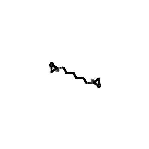 C(CCC[C@@H]1CO1)CC[C@@H]1CO1